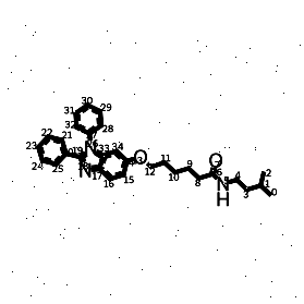 CC(C)CCNC(=O)CCCCCOc1ccc2nc(-c3ccccc3)n(-c3ccccc3)c2c1